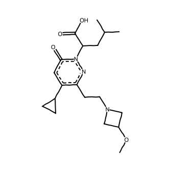 COC1CN(CCc2nn(C(CC(C)C)C(=O)O)c(=O)cc2C2CC2)C1